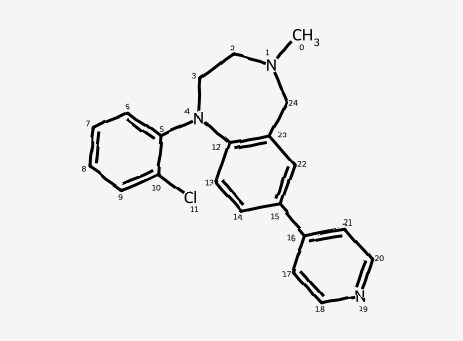 CN1CCN(c2ccccc2Cl)c2ccc(-c3ccncc3)cc2C1